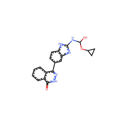 O=c1[nH]nc(-c2ccc3[nH]c(NC(O)OC4CC4)nc3c2)c2ccccc12